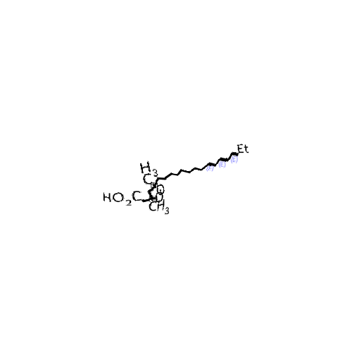 CC/C=C/C=C/C=C/CCCCCCCC[C@]1(C)C[C@](C)(CC(=O)O)OO1